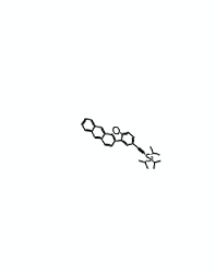 CC(C)[Si](C#Cc1ccc2oc3c4cc5ccccc5cc4ccc3c2c1)(C(C)C)C(C)C